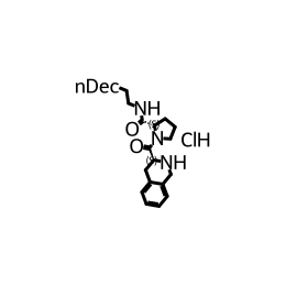 CCCCCCCCCCCCNC(=O)[C@@H]1CCCN1C(=O)[C@@H]1Cc2ccccc2CN1.Cl